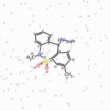 CCCNC1c2ccccc2N(C)S(=O)(=O)c2cc(C)ccc21